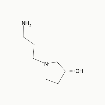 NCCCN1CC[C@@H](O)C1